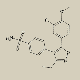 CCc1noc(-c2ccc(OC)c(F)c2)c1-c1ccc(S(N)(=O)=O)cc1